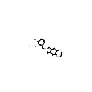 COc1cccc(CN2C(=O)c3c(c(O)c4nccnc4c3O)C2=O)c1OC